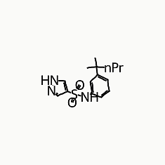 CCCC(C)(C)c1cccc(NS(=O)(=O)c2cn[nH]c2)c1